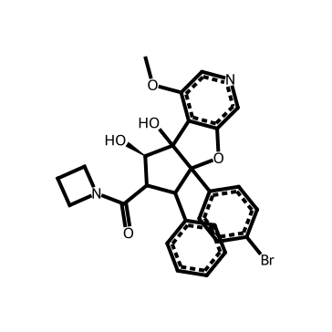 COc1cncc2c1C1(O)[C@H](O)C(C(=O)N3CCC3)C(c3ccccc3)C1(c1ccc(Br)cc1)O2